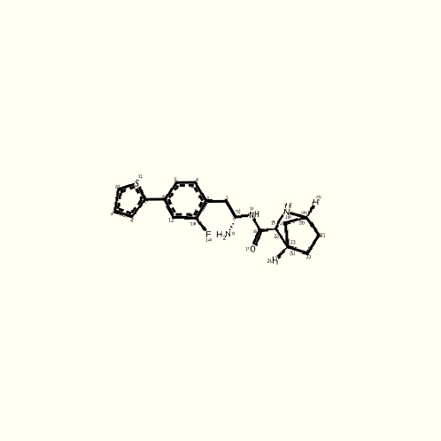 N[C@H](Cc1ccc(-c2cccs2)cc1F)NC(=O)[C@H]1N[C@@H]2CC[C@H]1C2